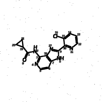 O=C(Nc1nccc2[nH]c(-c3ncccc3Cl)nc12)C1CC1